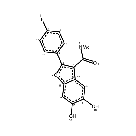 CNC(=O)c1c(-c2ccc(F)cc2)oc2cc(O)c(O)cc12